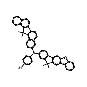 CC(C)(C)c1ccc(N(c2ccc3c(c2)C(C)(C)c2cc4c(cc2-3)oc2ccccc24)c2ccc3c4c(ccc3c2)-c2ccc3ccccc3c2C4(C)C)cc1